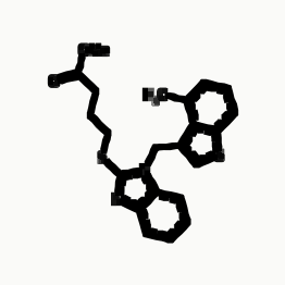 COC(=O)CCCSc1nc2ccccc2n1Cc1csc2cccc(C)c12